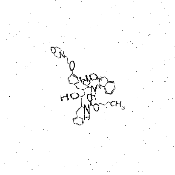 CCCCOC(=O)NC(Cc1ccccc1)C(O)CC(Cc1ccc(OCCN2CCOCC2)cc1)C(=O)N[C@H]1c2ccccc2C[C@@H]1O